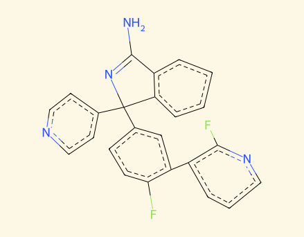 NC1=NC(c2ccncc2)(c2ccc(F)c(-c3cccnc3F)c2)c2ccccc21